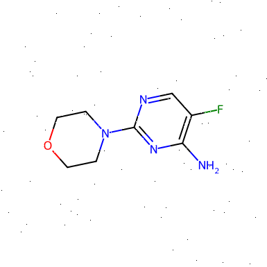 Nc1nc(N2CCOCC2)ncc1F